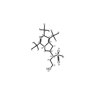 CC(C)(C)C1=NC(C(C)(C)C)C(C(C)(C)C)=C2CC(N(CCO)S(C)(=O)=O)CN12